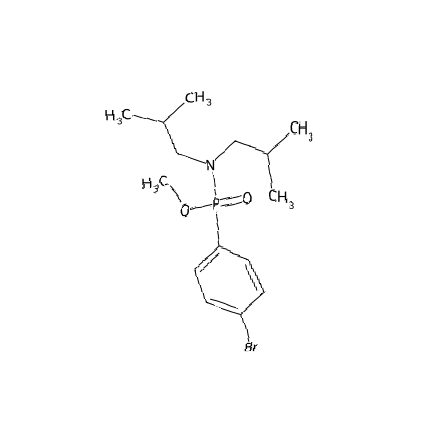 COP(=O)(c1ccc(Br)cc1)N(CC(C)C)CC(C)C